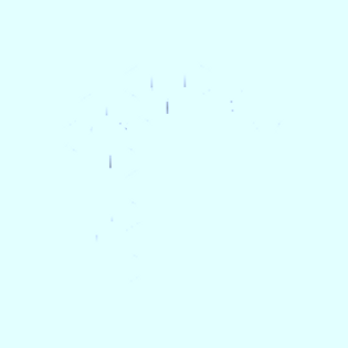 c1cc(-c2cc3ccccc3o2)cc(-c2ccc(N(c3ccc(-c4ccc5c(ccc6ccccc65)c4)cc3)c3cccc4ccccc34)c3ccccc23)c1